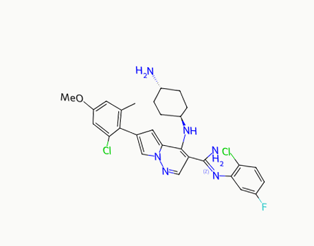 COc1cc(C)c(-c2cc3c(N[C@H]4CC[C@H](N)CC4)c(/C(N)=N/c4cc(F)ccc4Cl)cnn3c2)c(Cl)c1